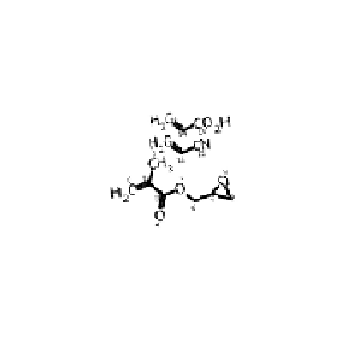 C=C(C)C(=O)OCC1CO1.C=CC#N.C=CC(=O)O